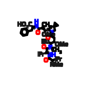 CCC(C)C(C(CC(=O)N1CC2(CC2)C[C@H]1C(OC)[C@@H](C)C(=O)N[C@@H](Cc1ccccc1)C(=O)O)OC)N(C)C(=O)[C@@H](NC(=O)C(NC)C(C)C)C(C)C